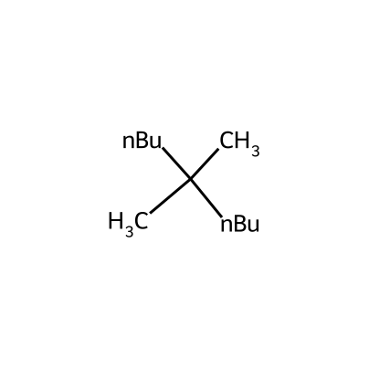 CCCCC(C)(C)CCCC